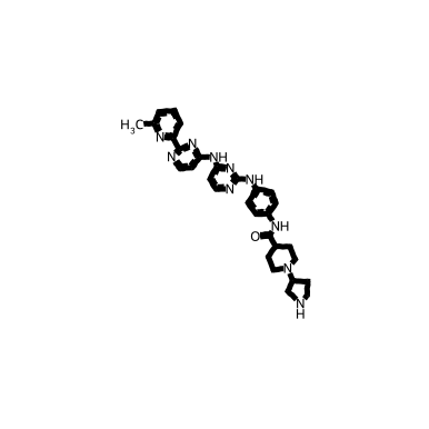 Cc1cccc(-c2nccc(Nc3ccnc(Nc4ccc(NC(=O)C5CCN(C6CCNC6)CC5)cc4)n3)n2)n1